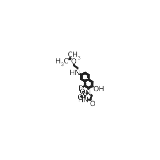 CC(C)OCCNc1ccc2cc(O)c(N3CC(=O)NS3(=O)=O)c(F)c2c1